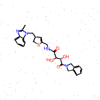 Cc1nc2ccccc2n1CC1C=C(CNC(=O)[C@H](O)[C@@H](O)C(=O)N2Cc3ccccc3C2)SC1